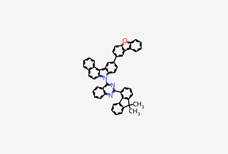 CC1(C)c2ccccc2-c2c(-c3nc(-n4c5ccc(-c6ccc7oc8ccccc8c7c6)cc5c5c6ccccc6ccc54)c4ccccc4n3)cccc21